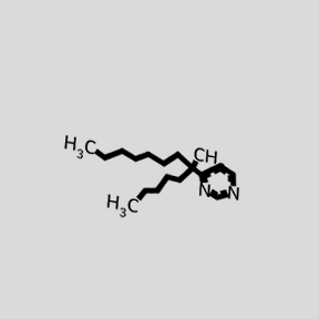 CCCCCCCC(C)(CCCCC)c1ccncn1